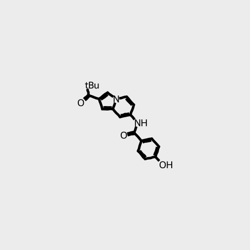 CC(C)(C)C(=O)c1cc2cc(NC(=O)c3ccc(O)cc3)ccn2c1